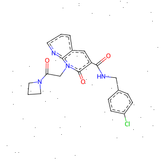 O=C(NCc1ccc(Cl)cc1)c1cc2cccnc2n(CC(=O)N2CCC2)c1=O